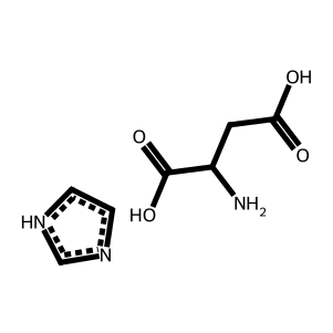 NC(CC(=O)O)C(=O)O.c1c[nH]cn1